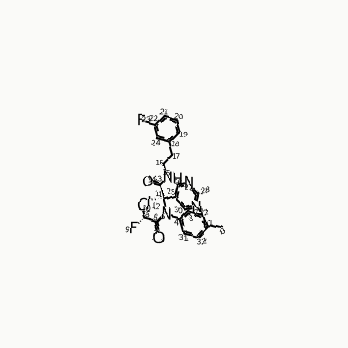 Cc1ccc(N(C(=O)[C@H](F)Cl)[C@@](C)(C(=O)NCCc2cccc(F)c2)c2cncnc2)cc1